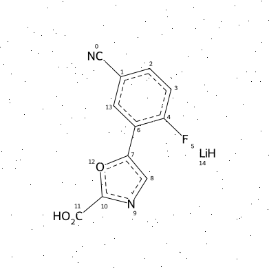 N#Cc1ccc(F)c(-c2cnc(C(=O)O)o2)c1.[LiH]